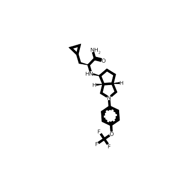 NC(=O)[C@H](CC1CC1)N[C@H]1CC[C@@H]2CN(c3ccc(OC(F)(F)F)cc3)C[C@@H]21